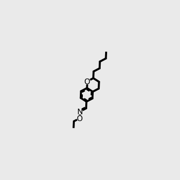 CCCCCC1CCc2cc(/C=N/OCC)ccc2O1